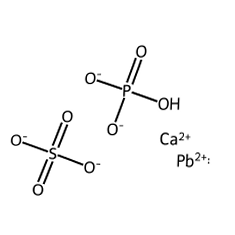 O=P([O-])([O-])O.O=S(=O)([O-])[O-].[Ca+2].[Pb+2]